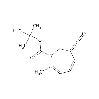 CC1=CC=CC(=C=O)CN1C(=O)OC(C)(C)C